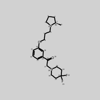 C[C@@H]1CCCN1CCCOc1cccc(C(=O)CN2CCC(F)(F)CC2)c1